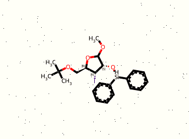 COC1O[C@H](COC(C)(C)C)[C@@H](I)[C@H]1O[SiH](c1ccccc1)c1ccccc1